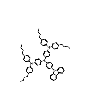 CCCCc1ccc(N(c2ccc(CCCC)cc2)c2ccc(B(c3ccc(N(c4ccc(CCCC)cc4)c4ccc(CCCC)cc4)cc3)c3ccc(-n4c5ccccc5c5ccccc54)cc3)cc2)cc1